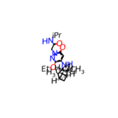 CCOc1nn(CC(=O)NC(C)C)c(=O)cc1N[C@@H]1C[C@@H]2C[C@H]([C@H]1C)C2(C)C